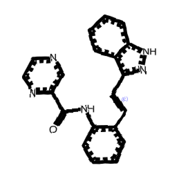 O=C(Nc1ccccc1/C=C/c1n[nH]c2ccccc12)c1cnccn1